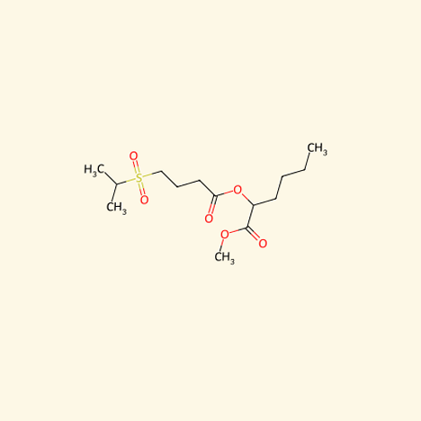 CCCCC(OC(=O)CCCS(=O)(=O)C(C)C)C(=O)OC